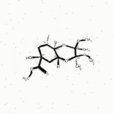 COC(=O)[C@]1(O)C[C@H](I)[C@H]2O[C@](C)(OC)[C@@](C)(OC)O[C@@H]2C1